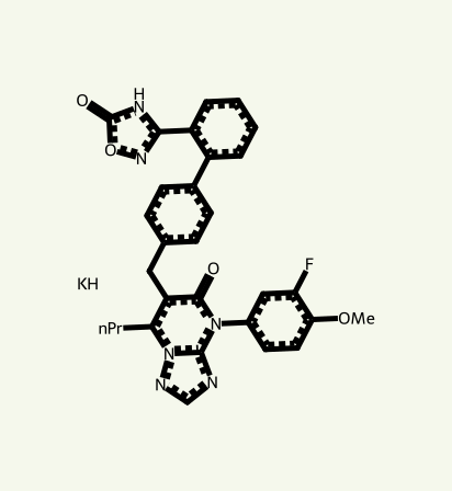 CCCc1c(Cc2ccc(-c3ccccc3-c3noc(=O)[nH]3)cc2)c(=O)n(-c2ccc(OC)c(F)c2)c2ncnn12.[KH]